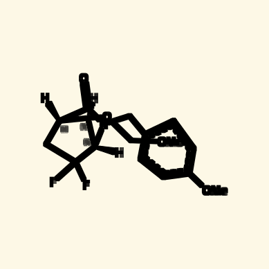 COCO[C@@H]1[C@@H]2CC(F)(F)[C@H]1N(Cc1ccc(OC)cc1)C2=O